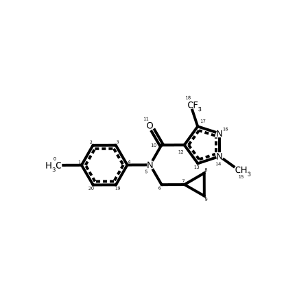 Cc1ccc(N(CC2CC2)C(=O)c2cn(C)nc2C(F)(F)F)cc1